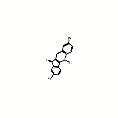 CCc1ccc2c(c1)CC1=C(c3ccc(C(C)C)cc3C1=O)N2CC